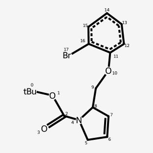 CC(C)(C)OC(=O)N1CC=CC1COc1ccccc1Br